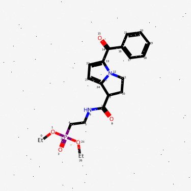 CCOP(=O)(CCNC(=O)C1CCn2c(C(=O)c3ccccc3)ccc21)OCC